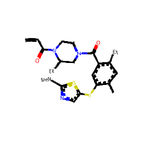 C=CC(=O)N1CCN(C(=O)c2cc(Sc3cnc(NC)s3)c(C)cc2CC)CC1CC